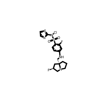 O=S(=O)(c1ccc(NC[C@]23CCCN2C[C@@H](F)C3)cc1F)N(Cl)c1nccs1